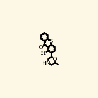 CCc1c(C2CNCC(C)O2)ccc2sc3ccccc3c(=O)c12